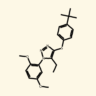 CCc1c(Sc2ccc(C(C)(C)C)cc2)nnn1-c1cc(OC)ccc1OC